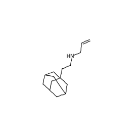 C=CCNCCC12CC3CC(CC(C3)C1)C2